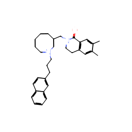 Cc1cc2c(cc1C)C(=O)N(CC1CCCCCN(CCCc3ccc4ccccc4c3)C1)CC2